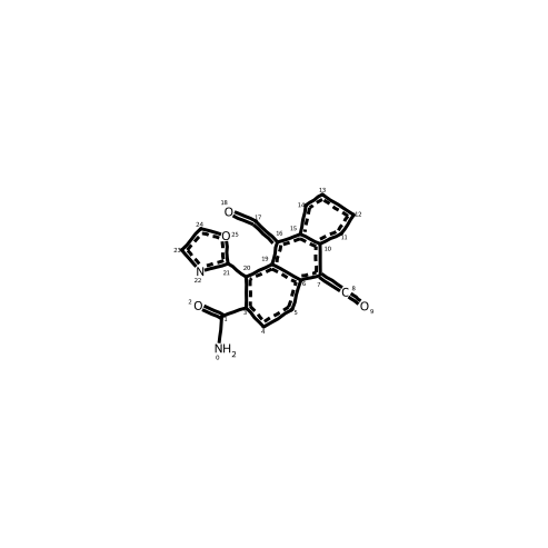 NC(=O)c1ccc2c(=C=O)c3ccccc3c(=C=O)c2c1-c1ncco1